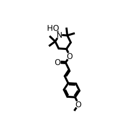 COc1ccc(/C=C/C(=O)OC2CC(C)(C)N(O)C(C)(C)C2)cc1